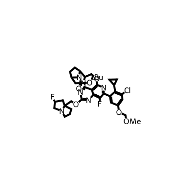 COCOc1cc(Cl)c(C2CC2)c(-c2nc3c4c(nc(OCC56CCCN5CC(F)C6)nc4c2F)N2CC4CCC(C2CO3)N4C(=O)OC(C)(C)C)c1